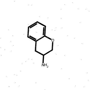 NC1COc2ccccc2C1